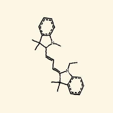 CCN1C(=CC=CC2N(C)c3ccccc3C2(C)C)C(C)(C)c2ccccc21